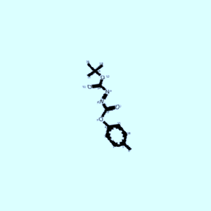 Cc1ccc(OC(=O)N=NC(=O)OC(C)(C)C)cc1